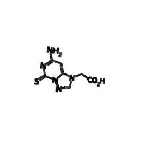 Nc1cc2n(CC(=O)O)cnn2c(=S)n1